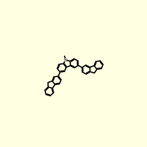 Cn1c2ccc(-c3ccc4c(c3)Cc3ccccc3-4)cc2c2cc(-c3ccc4c(c3)-c3ccccc3C4)ccc21